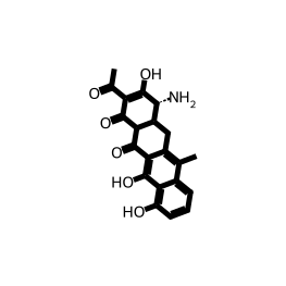 CC(=O)C1=C(O)[C@H](N)C2Cc3c(c(O)c4c(O)cccc4c3C)C(=O)C2C1=O